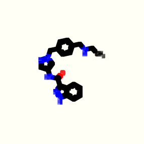 CCNCc1ccc(Cn2cc(NC(=O)c3n[nH]c4ccccc34)cn2)cc1